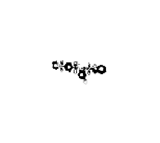 O=S(=O)(Nc1ccc(Cl)cc1NS(=O)(=O)c1cc2ccccc2o1)c1ccc(S(=O)(=O)N2CCCC2)cc1